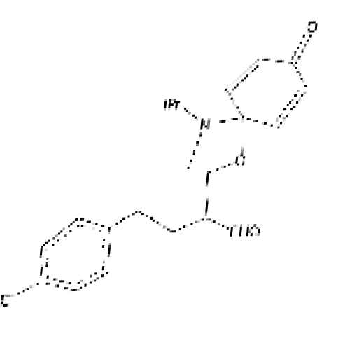 CC(C)N(C)C1(OCC(C=O)CCc2ccc(C(F)(F)F)cc2)C=CC(=O)C=C1